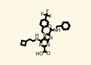 O=C(O)c1nc(NCCC2CCC2)c2c(n1)nc(C(=O)NCc1ccccc1)n2Cc1ccc(C(F)(F)F)cc1